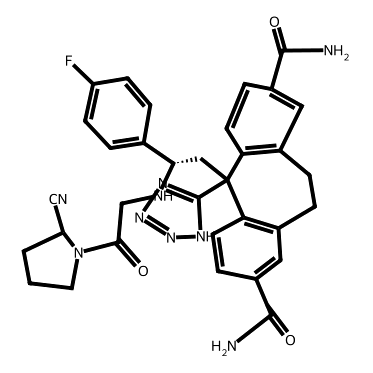 N#CC1CCCN1C(=O)CN[C@@H](CC1(c2nnn[nH]2)c2ccc(C(N)=O)cc2CCc2cc(C(N)=O)ccc21)c1ccc(F)cc1